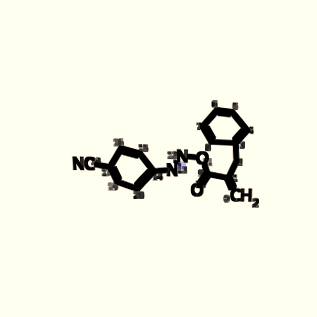 C=C(Cc1ccccc1)C(=O)O/N=N/c1ccc(C#N)cc1